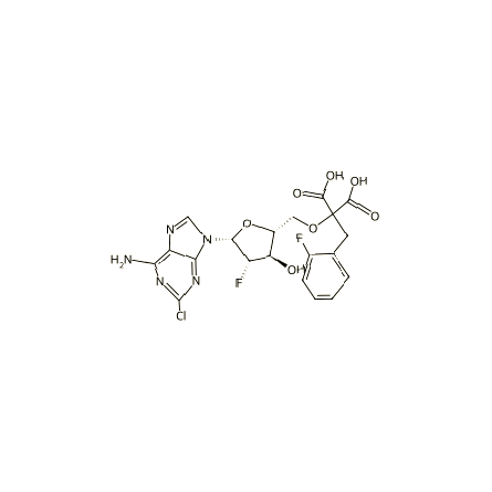 Nc1nc(Cl)nc2c1ncn2[C@@H]1O[C@H](COC(Cc2ccccc2F)(C(=O)O)C(=O)O)[C@@H](O)[C@@H]1F